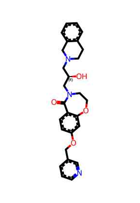 O=C1c2ccc(OCc3cccnc3)cc2OCCN1C[C@H](O)CN1CCc2ccccc2C1